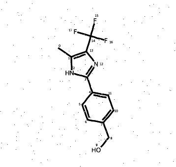 Cc1[nH]c(-c2ccc(CO)cc2)nc1C(F)(F)F